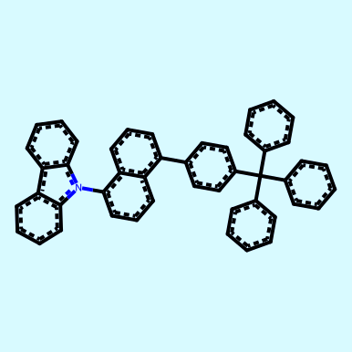 c1ccc(C(c2ccccc2)(c2ccccc2)c2ccc(-c3cccc4c(-n5c6ccccc6c6ccccc65)cccc34)cc2)cc1